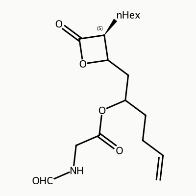 C=CCCC(CC1OC(=O)[C@H]1CCCCCC)OC(=O)CNC=O